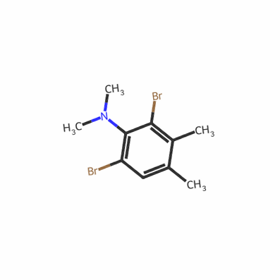 Cc1cc(Br)c(N(C)C)c(Br)c1C